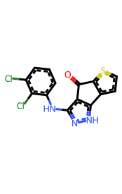 O=C1c2sccc2-c2[nH]nc(Nc3cccc(Cl)c3Cl)c21